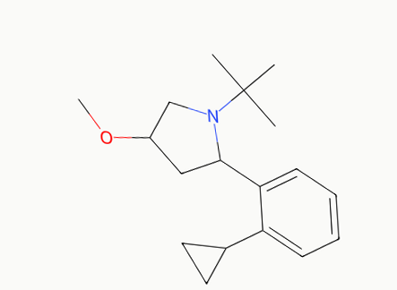 COC1CC(c2ccccc2C2CC2)N(C(C)(C)C)C1